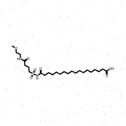 COCCNC(=O)CCCS(=O)(=O)NC(=O)CCCCCCCCCCCCCCCCC(=O)O